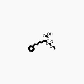 CCOC(=O)OC(=CC=CCCc1ccccc1)OC(=O)O